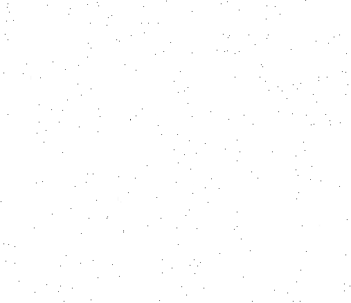 CCCCCCCOc1c2ccccc2c(OCCCCCCC)c2c(CC)cccc12